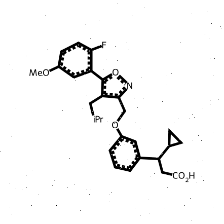 COc1ccc(F)c(-c2onc(COc3cccc(C(CC(=O)O)C4CC4)c3)c2CC(C)C)c1